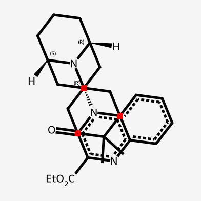 CCOC(=O)c1nc2ccccc2n([C@H]2C[C@H]3CCC[C@@H](C2)N3C2CCC(C)(C)CC2)c1=O